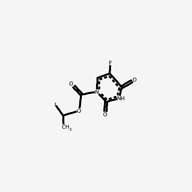 CC(I)OC(=O)n1cc(F)c(=O)[nH]c1=O